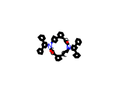 c1ccc(-c2cc(-c3ccccc3)cc(N3c4ccc(cc4)-c4ccccc4-c4ccc(cc4)N(c4cc(-c5ccccc5)cc(-c5ccccc5)c4)c4ccc(cc4)-c4ccccc4-c4ccc3cc4)c2)cc1